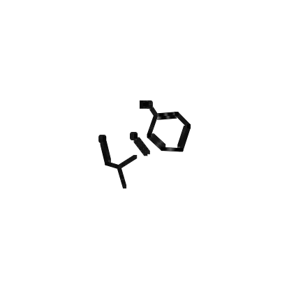 C=O.CC(C)C=O.Oc1ccccc1